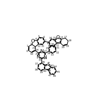 C1=CC2Oc3ccc(-c4ccc5c6c(oc5c4)CCC=C6)cc3C2C(c2nc(-c3ccccc3)nc(-c3cccc4c3sc3ccccc34)n2)=C1